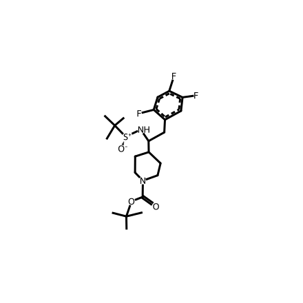 CC(C)(C)OC(=O)N1CCC(C(Cc2cc(F)c(F)cc2F)N[S@+]([O-])C(C)(C)C)CC1